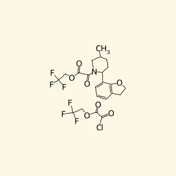 CC1CCC(c2cccc3c2OCC3)N(C(=O)C(=O)OCC(F)(F)F)C1.O=C(Cl)C(=O)OCC(F)(F)F